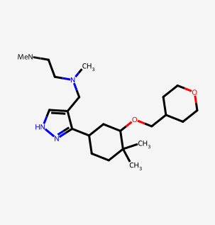 CNCCN(C)Cc1c[nH]nc1C1CCC(C)(C)C(OCC2CCOCC2)C1